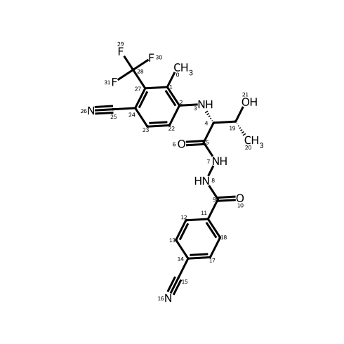 Cc1c(N[C@@H](C(=O)NNC(=O)c2ccc(C#N)cc2)[C@@H](C)O)ccc(C#N)c1C(F)(F)F